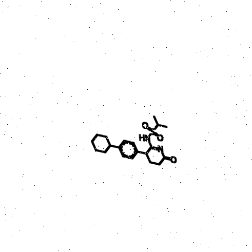 CC(C)S(=O)(=O)NC1=NC(=O)CCC1c1ccc(C2CCCCC2)cc1